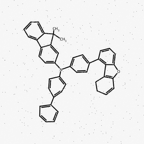 CC1(C)c2ccccc2-c2ccc(N(c3ccc(-c4ccccc4)cc3)c3ccc(-c4cccc5oc6c(c45)CCC=C6)cc3)cc21